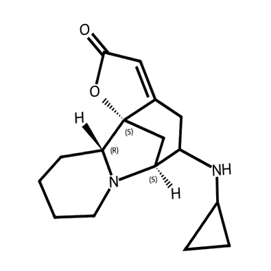 O=C1C=C2CC(NC3CC3)[C@@H]3C[C@@]2(O1)[C@H]1CCCCN31